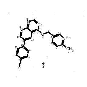 Cc1ccc(COc2ncnc3ncc(-c4ccc(F)cc4)cc23)cn1.[N]